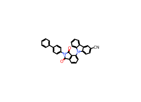 N#Cc1ccc2c(c1)c1ccccc1n2-c1cccc2c1C(=O)N(c1ccc(-c3ccccc3)cc1)C2=O